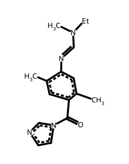 CCN(C)C=Nc1cc(C)c(C(=O)n2ccnc2)cc1C